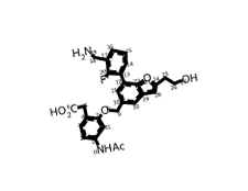 CC(=O)Nc1ccc(CC(=O)O)c(OCc2cc(-c3cccc(CN)c3F)c3oc(CCO)cc3c2)c1